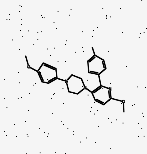 COc1ccc(N2CCN(c3ccc(OC)nc3-c3ccc(C)cc3)CC2)cc1